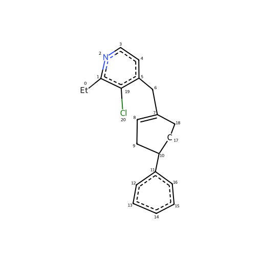 CCc1nccc(CC2=CCC(c3ccccc3)CC2)c1Cl